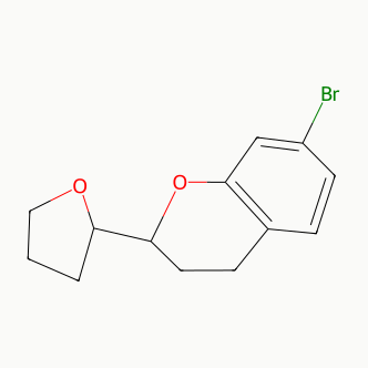 Brc1ccc2c(c1)OC(C1CCCO1)CC2